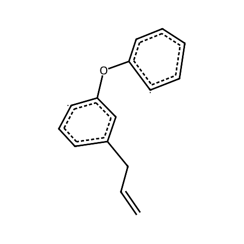 C=CCc1cc[c]c(Oc2[c]cccc2)c1